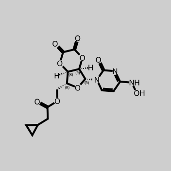 O=C(CC1CC1)OC[C@H]1O[C@@H](n2ccc(NO)nc2=O)[C@@H]2OC(=O)C(=O)O[C@@H]21